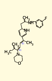 C=C(CC1C=CC(/C(C)=C/C=C(\C(=C)C)N2CCOCC2)=CN1)NCc1cccc(F)c1